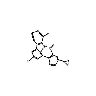 COc1cc(C2CC2)ccc1-c1cc(Cl)cc2c1[nH]c1c(C)nccc12